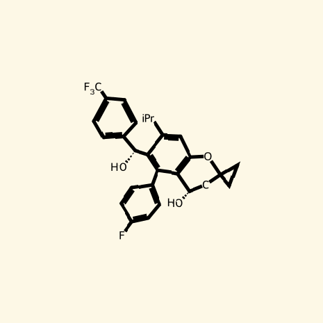 CC(C)c1cc2c(c(-c3ccc(F)cc3)c1[C@H](O)c1ccc(C(F)(F)F)cc1)[C@@H](O)CC1(CC1)O2